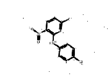 O=[N+]([O-])c1ccc(Cl)nc1Nc1ccc(Cl)cc1